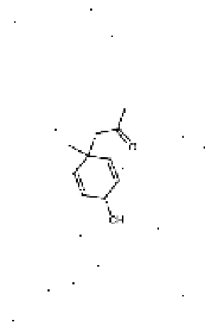 CC(=O)CC1(C)C=CC(O)C=C1